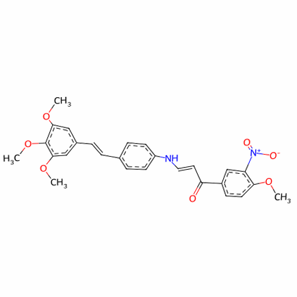 COc1ccc(C(=O)C=CNc2ccc(C=Cc3cc(OC)c(OC)c(OC)c3)cc2)cc1[N+](=O)[O-]